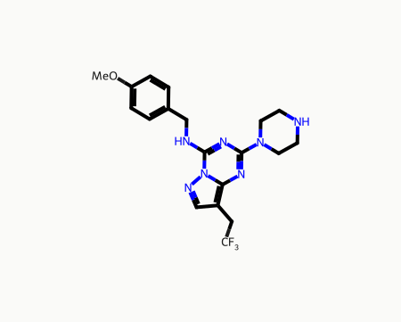 COc1ccc(CNc2nc(N3CCNCC3)nc3c(CC(F)(F)F)cnn23)cc1